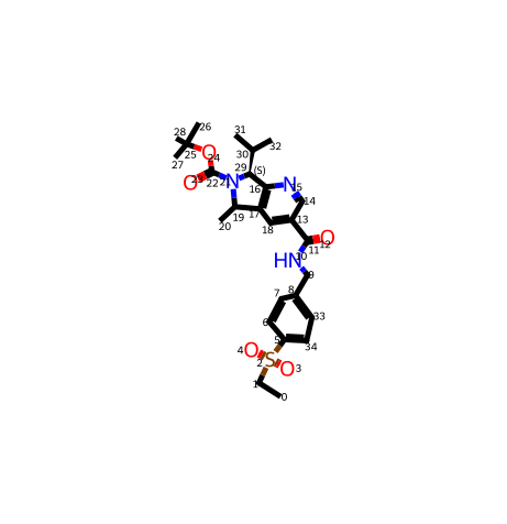 CCS(=O)(=O)c1ccc(CNC(=O)c2cnc3c(c2)C(C)N(C(=O)OC(C)(C)C)[C@H]3C(C)C)cc1